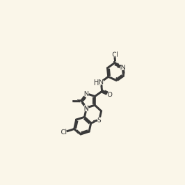 Cc1nc(C(=O)Nc2ccnc(Cl)c2)c2n1-c1cc(Cl)ccc1SC2